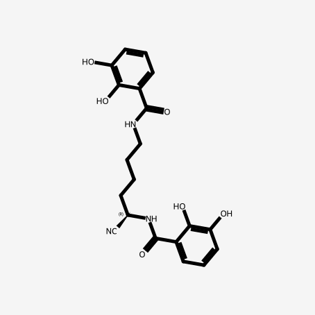 N#C[C@@H](CCCCNC(=O)c1cccc(O)c1O)NC(=O)c1cccc(O)c1O